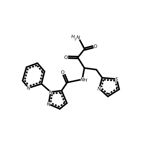 NC(=O)C(=O)C(Cc1nccs1)NC(=O)c1ccnn1-c1ccccn1